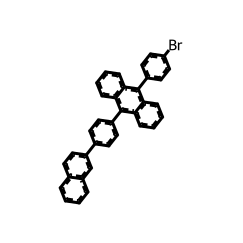 Brc1ccc(-c2c3ccccc3c(-c3ccc(-c4ccc5ccccc5c4)cc3)c3ccccc23)cc1